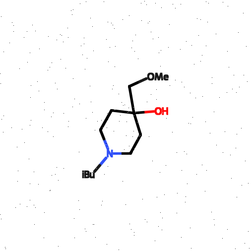 CCC(C)N1CCC(O)(COC)CC1